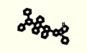 C1=Cc2c(c3cc(-c4ccc(-c5c6ccccc6c(-c6cc(-c7ccccc7)cc(-c7ccccc7)c6)c6ccccc56)c5ccccc45)ccc3n2-c2ccccc2)NC1